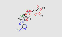 CC(C)OC(=O)C(CCO[P@]1(=O)OC[C@H]2O[C@@H](n3cnc4c(N)ncnc43)[C@](C)(Cl)[C@@H]2O1)C(=O)OC(C)C